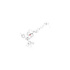 COc1cc(-c2nc(-c3ccc(F)cc3)c(-c3ccc(F)cc3)n2Cc2ccc(C(=O)NCCOCCOCCN)cc2)cc(Br)c1OC